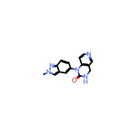 Cn1cc2cc(N3C(=O)NCc4cnccc43)ccc2n1